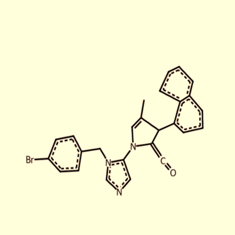 CC1=CN(c2cncn2Cc2ccc(Br)cc2)C(=C=O)C1c1cccc2ccccc12